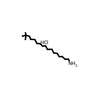 CC(C)(C)CCCCCCCCCCCCCCCN.Cl